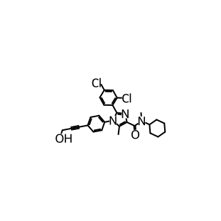 Cc1c(C(=O)N(C)C2CCCCC2)nc(-c2ccc(Cl)cc2Cl)n1-c1ccc(C#CCO)cc1